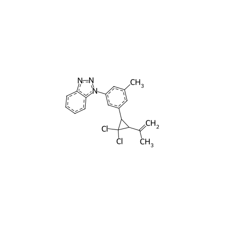 C=C(C)C1C(c2cc(C)cc(-n3nnc4ccccc43)c2)C1(Cl)Cl